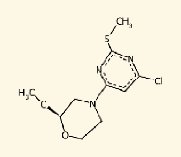 CC[C@H]1CN(c2cc(Cl)nc(SC)n2)CCO1